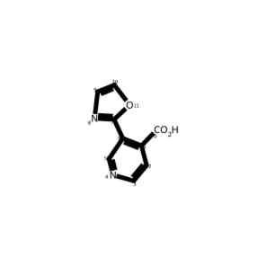 O=C(O)c1ccncc1-c1ncco1